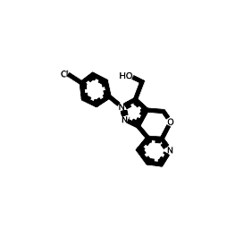 OCc1c2c(nn1-c1ccc(Cl)cc1)-c1cccnc1OC2